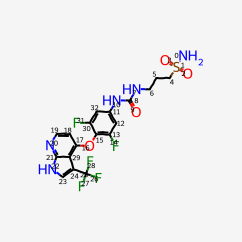 NS(=O)(=O)CCCNC(=O)Nc1cc(F)c(Oc2ccnc3[nH]cc(C(F)(F)F)c23)c(F)c1